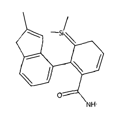 CC1=Cc2c(cccc2C2=C(C([NH])=O)C=CCC2=[Si](C)C)C1